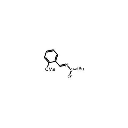 COc1ccccc1C=N[S+]([O-])C(C)(C)C